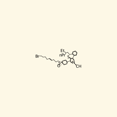 C#Cn1cc(-c2ccc([S+]([O-])CCCC=CCCCCBr)cc2)c(=S)c(-c2ccccc2CCC(CC)CCC)c1